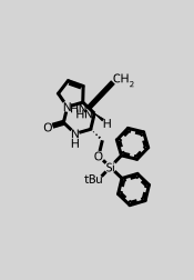 C=C1N[C@H]2[C@H](CO[Si](c3ccccc3)(c3ccccc3)C(C)(C)C)NC(=O)N3CC=CC23N1